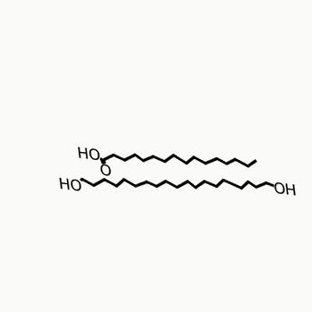 CCCCCCCCCCCCCCCC(=O)O.OCCCCCCCCCCCCCCCCCCCO